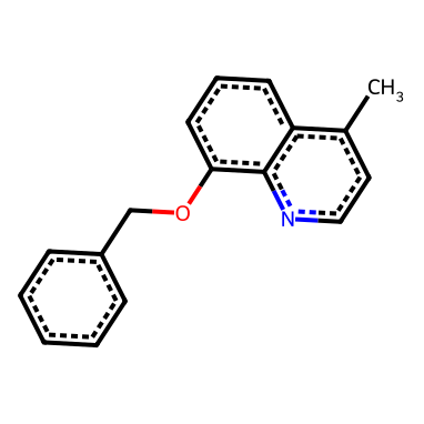 Cc1ccnc2c(OCc3ccccc3)cccc12